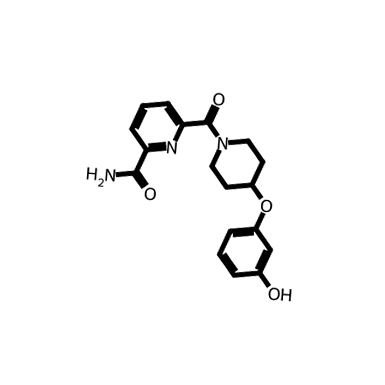 NC(=O)c1cccc(C(=O)N2CCC(Oc3cccc(O)c3)CC2)n1